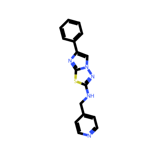 c1ccc(-c2cn3nc(NCc4ccncc4)sc3n2)cc1